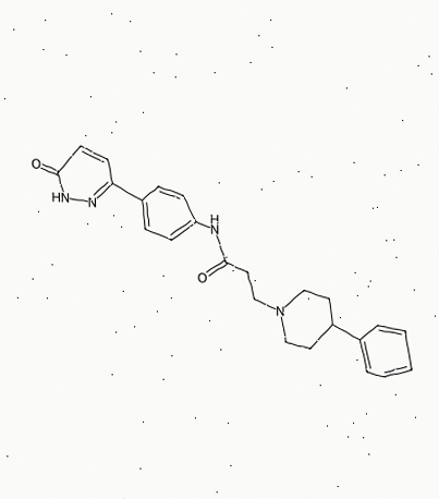 O=C(CCN1CCC(c2ccccc2)CC1)Nc1ccc(-c2ccc(=O)[nH]n2)cc1